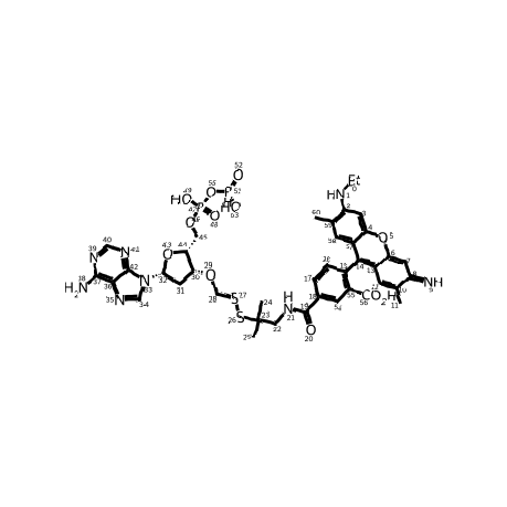 CCNc1cc2oc3cc(=N)c(C)cc-3c(-c3ccc(C(=O)NCC(C)(C)SSCO[C@@H]4C[C@H](n5cnc6c(N)ncnc65)O[C@@H]4COP(=O)(O)O[PH](=O)O)cc3C(=O)O)c2cc1C